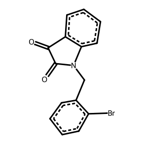 O=C1C(=O)N(Cc2ccccc2Br)c2ccccc21